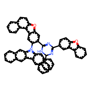 c1ccc(C2N=C(c3ccc4oc5ccccc5c4c3)N=C(c3cc4oc5ccc6ccccc6c5c4cc3-n3c4cc5ccccc5cc4c4cc5ccccc5cc43)N2)cc1